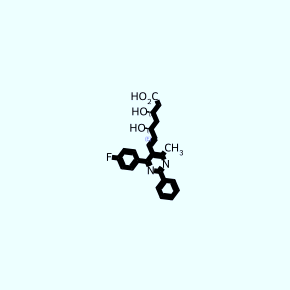 Cc1nc(-c2ccccc2)nc(-c2ccc(F)cc2)c1/C=C/[C@H](O)C[C@H](O)CC(=O)O